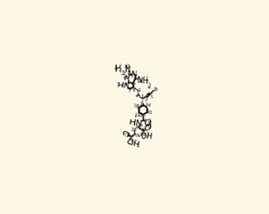 CC#CC(CCc1c[nH]c2nc(N)nc(N)c12)c1ccc(C(=O)N[C@@H](CCC(=O)O)C(=O)O)cc1